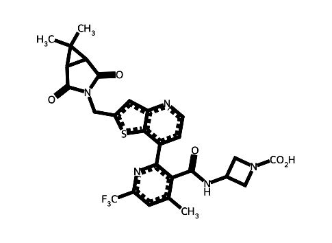 Cc1cc(C(F)(F)F)nc(-c2ccnc3cc(CN4C(=O)C5C(C4=O)C5(C)C)sc23)c1C(=O)NC1CN(C(=O)O)C1